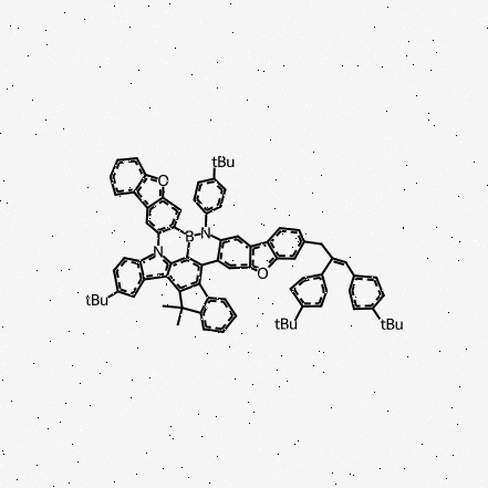 CC(C)(C)c1ccc(/C=C(/Cc2ccc3c(c2)oc2cc4c(cc23)N(c2ccc(C(C)(C)C)cc2)B2c3cc5oc6ccccc6c5cc3-n3c5ccc(C(C)(C)C)cc5c5c6c(c-4c2c53)-c2ccccc2C6(C)C)c2ccc(C(C)(C)C)cc2)cc1